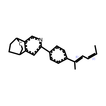 C/C=C\C=C(/C)c1ccc(-c2cc3c(cn2)C2CCC3CC2)cc1